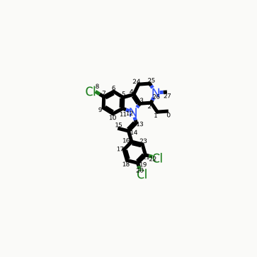 CCC1c2c(c3cc(Cl)ccc3n2/C=C(\C)c2ccc(Cl)c(Cl)c2)CCN1C